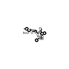 C=C(/C=C(/OC(C)=O)C1=CC=CC(C)C1)NC(=O)c1ccc(C(=O)N2C[C@@H](CCl)c3c2cc(OP(=O)(O)OCc2ccccc2)c2ccccc32)s1